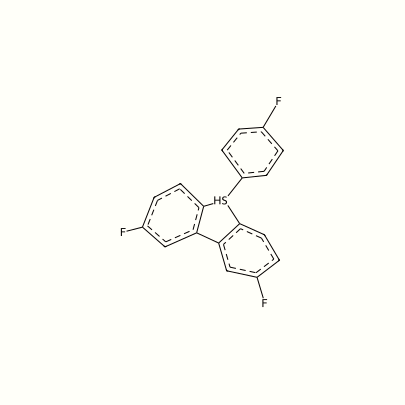 Fc1ccc([SH]2c3ccc(F)cc3-c3cc(F)ccc32)cc1